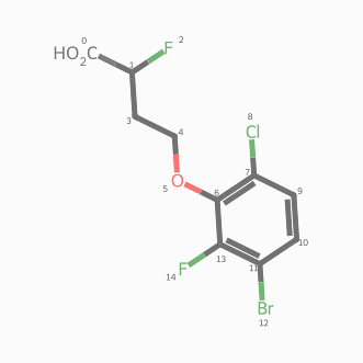 O=C(O)C(F)CCOc1c(Cl)ccc(Br)c1F